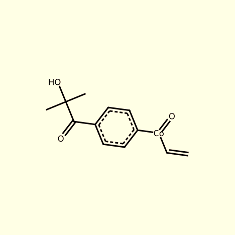 C=[CH][Co](=[O])[c]1ccc(C(=O)C(C)(C)O)cc1